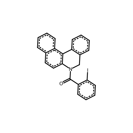 O=C(c1ccccc1I)N1Cc2ccccc2-c2c1ccc1ccccc21